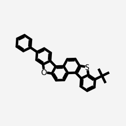 CC(C)(C)c1cccc2c1sc1ccc3c(ccc4oc5cc(-c6ccccc6)ccc5c43)c12